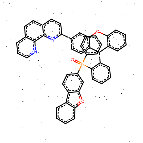 O=P(c1ccccc1)(c1ccc2c(c1)oc1ccccc12)c1ccccc1C1c2ccccc2Oc2cc(-c3ccc4ccc5cccnc5c4n3)ccc21